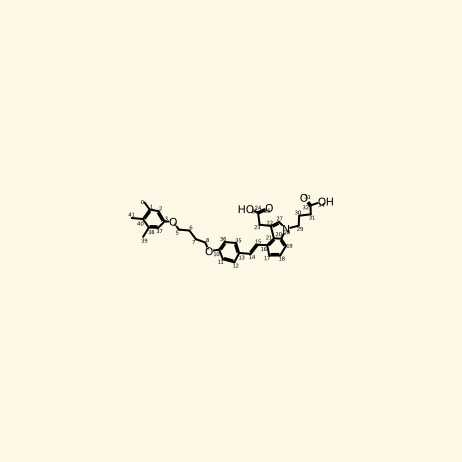 Cc1cc(OCCCCOc2ccc(C=Cc3cccc4c3c(CC(=O)O)cn4CCCC(=O)O)cc2)cc(C)c1C